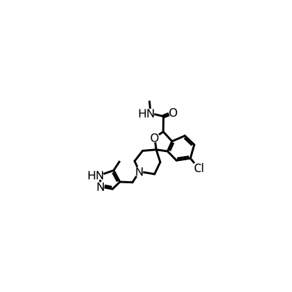 CNC(=O)C1OC2(CCN(Cc3cn[nH]c3C)CC2)c2cc(Cl)ccc21